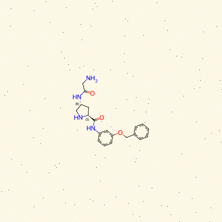 NCC(=O)N[C@H]1CN[C@H](C(=O)Nc2cccc(OCc3ccccc3)c2)C1